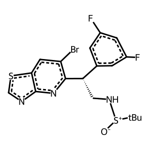 CC(C)(C)[S+]([O-])NC[C@@H](c1cc(F)cc(F)c1)c1nc2ncsc2cc1Br